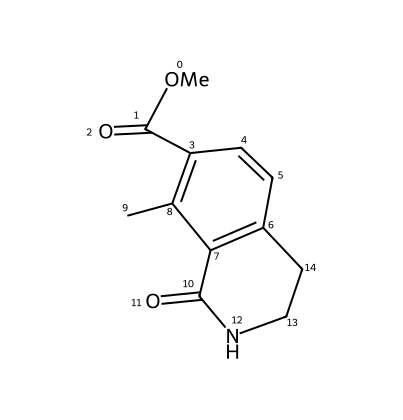 COC(=O)c1ccc2c(c1C)C(=O)NCC2